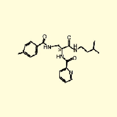 Cc1ccc(C(=O)NC[C@H](NC(=O)c2ccccn2)C(=O)NCCC(C)C)cc1